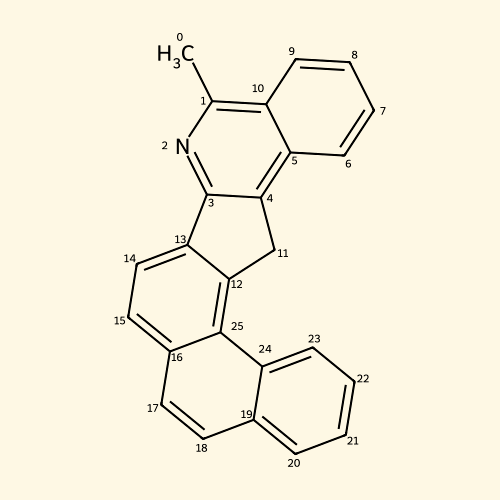 Cc1nc2c(c3ccccc13)Cc1c-2ccc2ccc3ccccc3c12